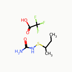 CCC(C)SNC(N)=O.O=C(O)C(F)(F)F